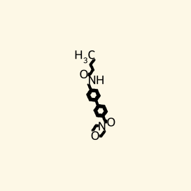 CCCCC(=O)NCc1ccc(-c2ccc(C(=O)N3CCOCC3)cc2)cc1